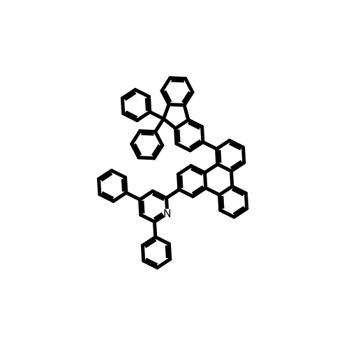 c1ccc(-c2cc(-c3ccccc3)nc(-c3ccc4c(c3)c3ccccc3c3cccc(-c5ccc6c(c5)-c5ccccc5C6(c5ccccc5)c5ccccc5)c34)c2)cc1